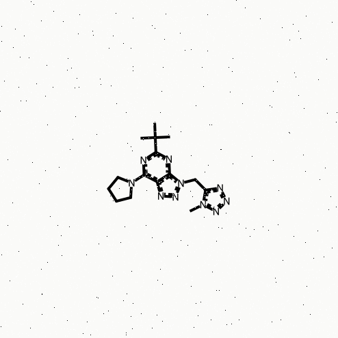 Cn1nnnc1Cn1nnc2c(N3CCCC3)nc(C(C)(C)C)nc21